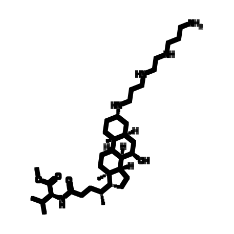 COC(=O)[C@@H](NC(=O)CC[C@@H](C)[C@H]1CC[C@H]2[C@@H]3[C@H](O)C[C@@H]4C[C@@H](NCCCNCCNCCCN)CC[C@]4(C)[C@H]3CC[C@]12C)C(C)C